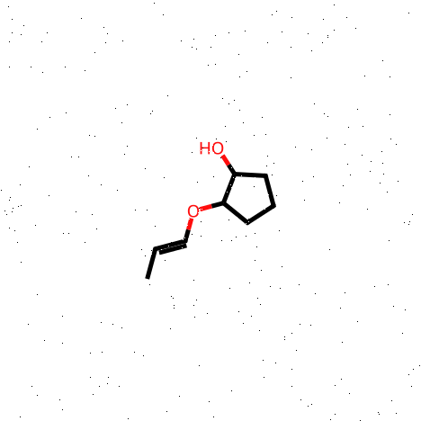 CC=COC1CCCC1O